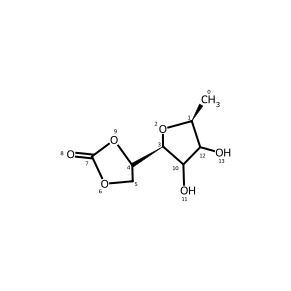 C[C@@H]1O[C@H](C2COC(=O)O2)C(O)C1O